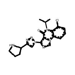 CC(C)n1c(=O)c2c(-n3cc(C4CCCN4)nn3)ncn2c2cccc(Cl)c21